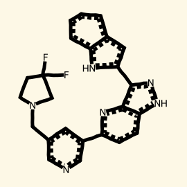 FC1(F)CCN(Cc2cncc(-c3ccc4[nH]nc(-c5cc6ccccc6[nH]5)c4n3)c2)C1